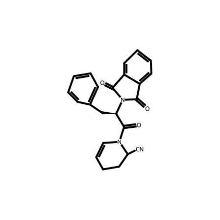 N#CC1CCC=CN1C(=O)[C@@H](Cc1ccccc1)N1C(=O)c2ccccc2C1=O